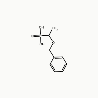 CC(OCc1ccccc1)P(=O)(O)O